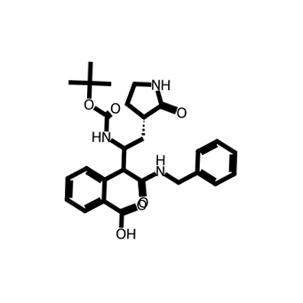 CC(C)(C)OC(=O)NC(C[C@@H]1CCNC1=O)C(C(=O)NCc1ccccc1)c1ccccc1C(=O)O